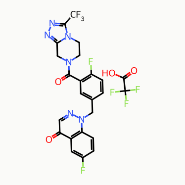 O=C(O)C(F)(F)F.O=C(c1cc(Cn2ncc(=O)c3cc(F)ccc32)ccc1F)N1CCn2c(nnc2C(F)(F)F)C1